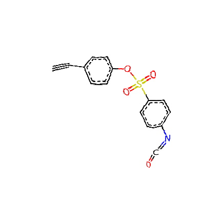 C#Cc1ccc(OS(=O)(=O)c2ccc(N=C=O)cc2)cc1